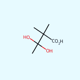 CC(O)(O)C(C)(C)C(=O)O